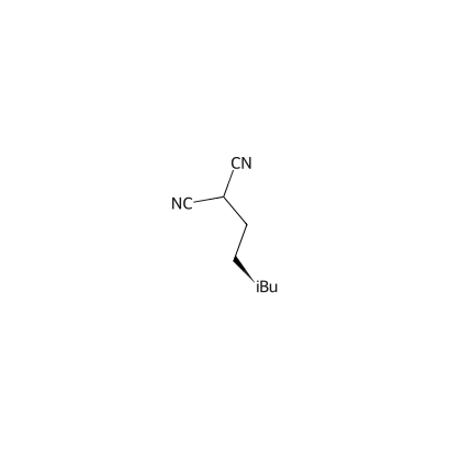 CC[C@H](C)CCC(C#N)C#N